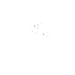 Nc1ncc2c3c(ccc2c1CCc1ccc2c(c1)OCO2)OCO3